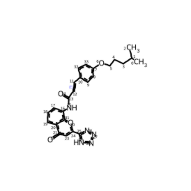 CC(C)CCCOc1ccc(/C=C/C(=O)Nc2cccc3c(=O)cc(-c4nnn[nH]4)oc23)cc1